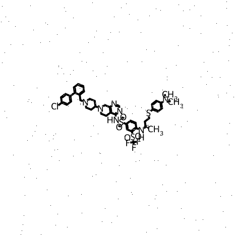 C[C@H](CCSc1ccc(N(C)C)cc1)Nc1ccc(S(=O)(=O)Nc2ncnc3c2CCN(C2CCN(Cc4ccccc4-c4ccc(Cl)cc4)CC2)C3)cc1S(=O)(=O)C(F)(F)F